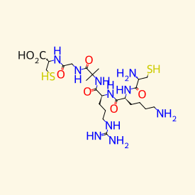 CC(C)(NC(=O)[C@H](CCCNC(=N)N)NC(=O)[C@H](CCCCN)NC(=O)[C@@H](N)CS)C(=O)NCC(=O)N[C@@H](CS)C(=O)O